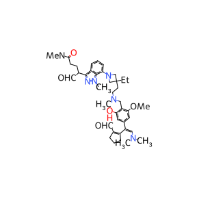 CCC1(CCN(C)Cc2c(O)cc(/C(=C/N(C)C)C3=C(C=O)CCC3)cc2OC)CN(c2cccc3c(C(C=O)CCC(=O)NC)nn(C)c23)C1